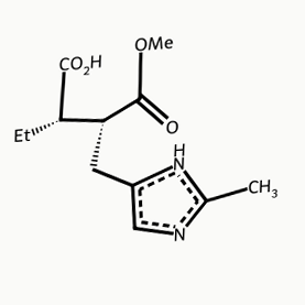 CC[C@H](C(=O)O)[C@@H](Cc1cnc(C)[nH]1)C(=O)OC